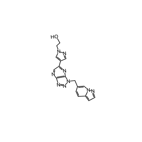 OCCn1cc(-c2cnc3nnn(Cc4ccc5ccnn5c4)c3n2)cn1